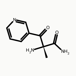 C[C@](N)(C(N)=O)C(=O)c1cccnc1